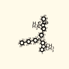 CC1(C)c2ccccc2-c2cc(N(c3ccc(-c4ccc(-c5ccccc5)cc4)cc3)c3ccc(-c4ccc5c(c4)C(C)(C)c4c-5oc5ccccc45)cc3)ccc21